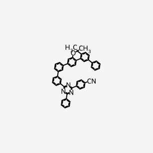 CC1(C)Oc2cc(-c3cccc(-c4cccc(-c5nc(-c6ccccc6)nc(-c6ccc(C#N)cc6)n5)c4)c3)ccc2-c2cc(-c3ccccc3)ccc21